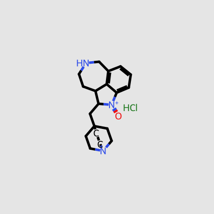 Cl.O=[N+]1c2cccc3c2C(CCNC3)C1CC12CCN(CC1)CC2